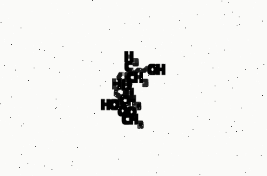 CC(=O)O[C@H]1CC[C@@]2(C)C(=CC[C@H]3[C@@H]4CC[C@H]([C@H](C)CCCCO)[C@@]4(C)CC[C@@H]32)[C@@H]1O